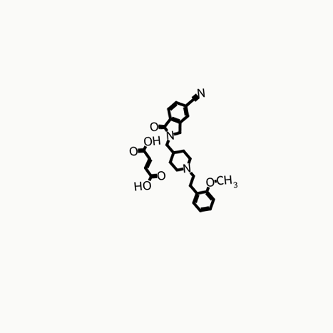 COc1ccccc1CCN1CCC(CN2Cc3cc(C#N)ccc3C2=O)CC1.O=C(O)/C=C/C(=O)O